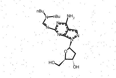 CCCCN(/C=N\c1nc(N)c2cnn([C@H]3C[C@H](O)[C@@H](CO)O3)c2n1)CCCC